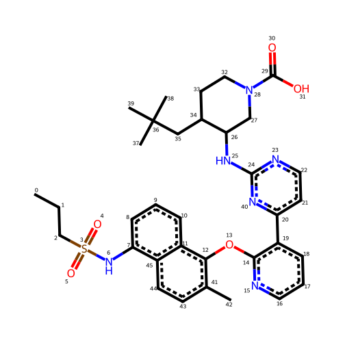 CCCS(=O)(=O)Nc1cccc2c(Oc3ncccc3-c3ccnc(NC4CN(C(=O)O)CCC4CC(C)(C)C)n3)c(C)ccc12